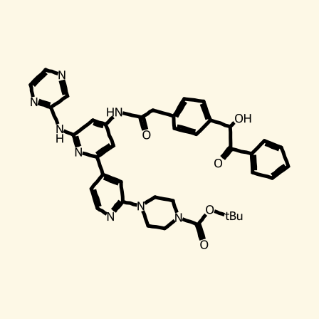 CC(C)(C)OC(=O)N1CCN(c2cc(-c3cc(NC(=O)Cc4ccc(C(O)C(=O)c5ccccc5)cc4)cc(Nc4cnccn4)n3)ccn2)CC1